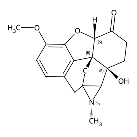 COc1ccc2c3c1O[C@@H]1C(=O)CC[C@]4(O)C5[N@](C)C5(C2)C[C@@]314